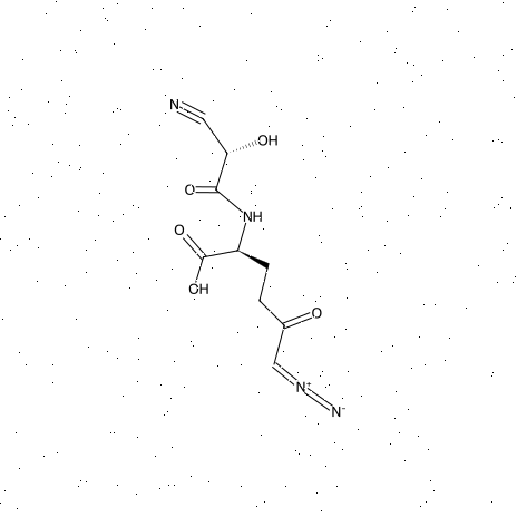 N#C[C@H](O)C(=O)N[C@@H](CCC(=O)C=[N+]=[N-])C(=O)O